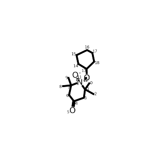 CC1(C)CC(=O)CC(C)(C)[N+]1([O-])OC1CCCCC1